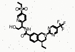 CC[C@@H]1CN(c2ncc(C(F)(F)F)cn2)Cc2cc(C(=O)NC(CO)c3ccc(S(=O)(=O)CC)cn3)ccc21